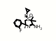 CC1(C)C(N)=N[C@](C)(c2ccccc2F)CS1(=O)=NC1CC1